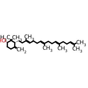 C=C1CC[C@H](O)C(C)(C)[C@@H]1CC/C(C)=C/CC/C=C(\C)CC/C=C(\C)CCC=C(C)C